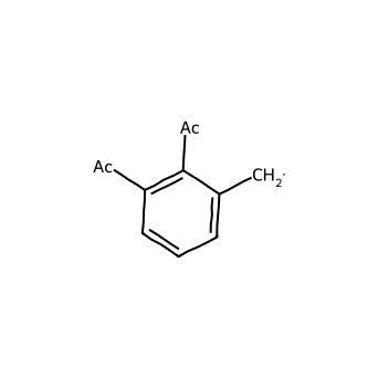 [CH2]c1cccc(C(C)=O)c1C(C)=O